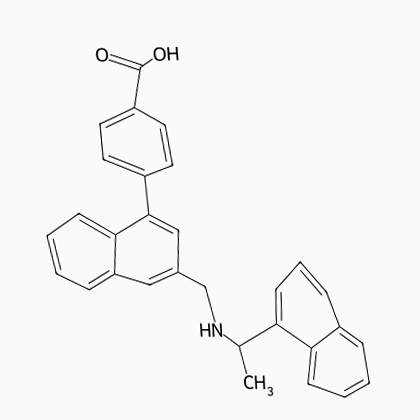 CC(NCc1cc(-c2ccc(C(=O)O)cc2)c2ccccc2c1)c1cccc2ccccc12